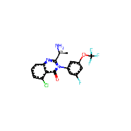 C[C@H](N)c1nc2cccc(Cl)c2c(=O)n1-c1cc(F)cc(OC(F)(F)F)c1